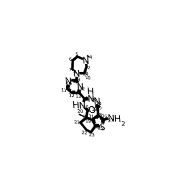 C[C@H]1CN(C)CCCN1c1nccc(C(=N)NC(=O)[C@@]2(C)CCCc3sc(N)c(C#N)c32)n1